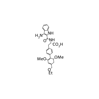 CCOCC1=CC(OC)=C(c2ccc(C[C@H](NC(=O)c3[nH]c4ccccc4c3N)C(=O)O)cc2)C(OC)C1